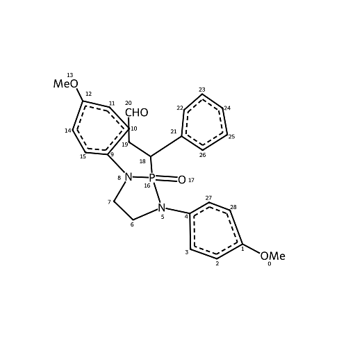 COc1ccc(N2CCN(c3ccc(OC)cc3)P2(=O)C(CC=O)c2ccccc2)cc1